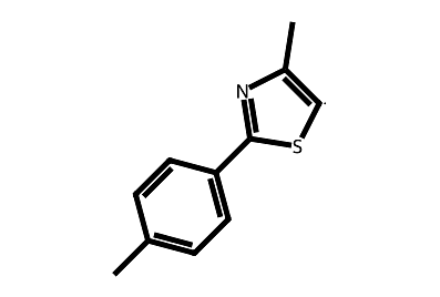 Cc1ccc(-c2nc(C)[c]s2)cc1